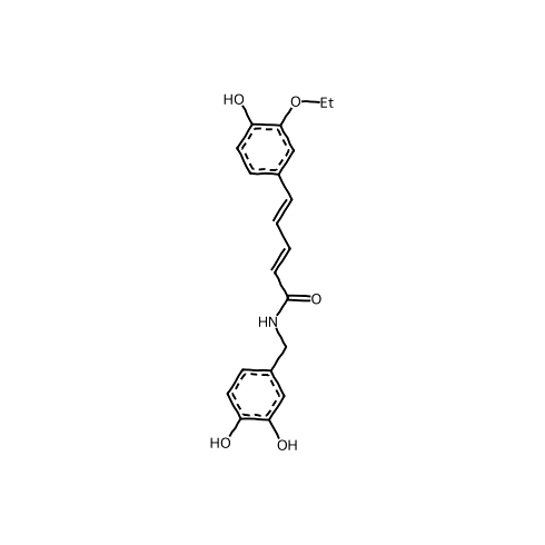 CCOc1cc(/C=C/C=C/C(=O)NCc2ccc(O)c(O)c2)ccc1O